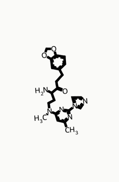 Cc1cc(N(C)CCC(N)C(=O)CCc2ccc3c(c2)OCO3)nc(-n2ccnc2)n1